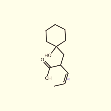 C/C=C\C(CC1(O)CCCCC1)C(=O)O